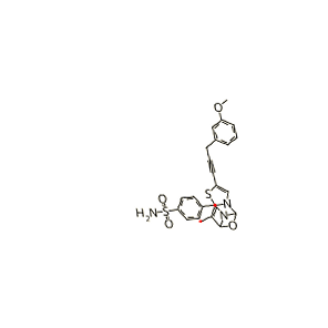 COc1cccc(CC#CC2=CN3C(=C(C)C4OC3N4Cc3ccc(S(N)(=O)=O)cc3)S2)c1